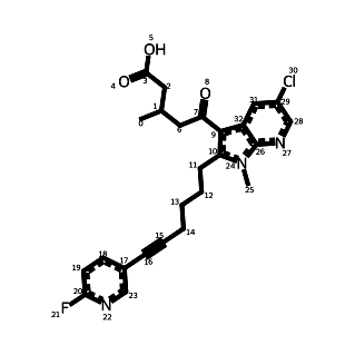 CC(CC(=O)O)CC(=O)c1c(CCCCC#Cc2ccc(F)nc2)n(C)c2ncc(Cl)cc12